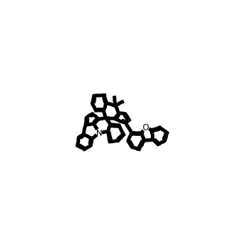 CC1(C)c2ccccc2C2(c3ccccc3-n3c4ccccc4c4cccc2c43)c2cc(-c3cccc4c3oc3ccccc34)ccc21